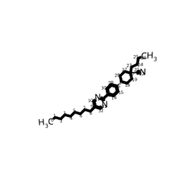 CCCCCCCCCc1cnc(-c2ccc([C@H]3CC[C@@](C#N)(CCCC)CC3)cc2)nc1